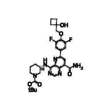 CC(C)(C)OC(=O)N1CCC[C@H](Nc2ncnc3c(C(N)=O)cc(-c4cc(F)c(OCC5(O)CCC5)c(F)c4)nc23)C1